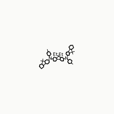 CCC1(CC)c2cc(N(c3ccc(C)cc3)c3ccc4c(c3)C(C)(C)c3ccccc3-4)ccc2-c2ccc(N(c3ccc(C)cc3)c3ccc4c(c3)C(C)(C)c3ccccc3-4)cc21